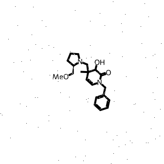 COC[C@H]1CCCN1CC1(C)C=CN(Cc2ccccc2)C(=O)C1O